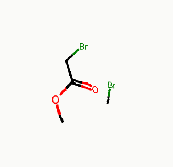 CBr.COC(=O)CBr